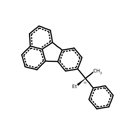 CC[C@@](C)(c1ccccc1)c1ccc2c(c1)-c1cccc3cccc-2c13